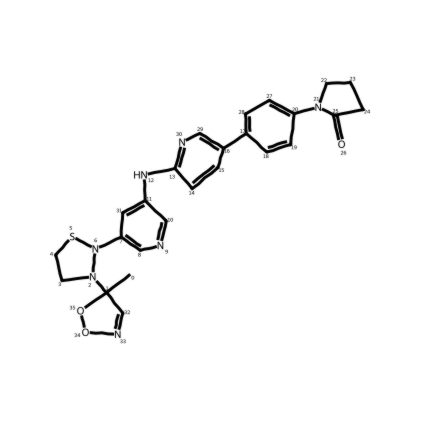 CC1(N2CCSN2c2cncc(Nc3ccc(-c4ccc(N5CCCC5=O)cc4)cn3)c2)C=NOO1